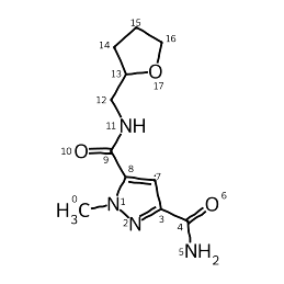 Cn1nc(C(N)=O)[c]c1C(=O)NCC1CCCO1